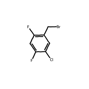 Fc1cc(F)c(CBr)cc1Cl